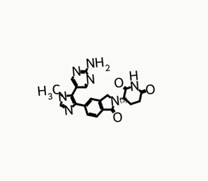 Cn1cnc(-c2ccc3c(c2)CN([C@H]2CCC(=O)NC2=O)C3=O)c1-c1cnc(N)nc1